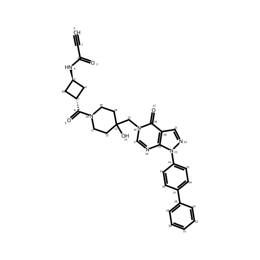 C#CC(=O)N[C@H]1C[C@H](C(=O)N2CCC(O)(Cn3cnc4c(cnn4-c4ccc(-c5ccccc5)cc4)c3=O)CC2)C1